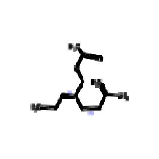 BC(=C)/C=C\C(=C/C=C)COC(C)=O